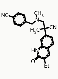 CCc1cc2ccc(C(C)(C#N)CN(C)Cc3ccc(C#N)cc3)cc2[nH]c1=O